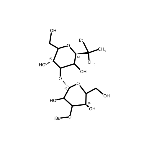 CCC(C)OC1C(O)[C@H](OC2C(O)[C@H](C(C)(C)CC)OC(CO)[C@H]2O)OC(CO)[C@H]1O